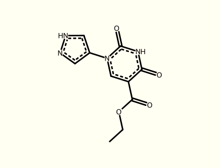 CCOC(=O)c1cn(-c2cn[nH]c2)c(=O)[nH]c1=O